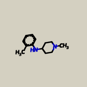 Cc1ccccc1NC1CCN(C)CC1